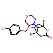 O=C1C[C@H]2C(N3CCOCC3)[C@H](C[C@H]2OCc2ccc(Br)cc2)O1